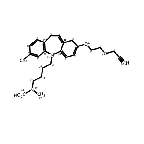 C#CCOCCOC1=CC=C2C(=CCc3ccc(Cl)cc3N2CCCCN(C)C(=O)O)C1